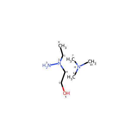 CCN(N)CCO.CN(C)C